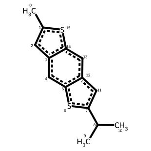 Cc1cc2cc3sc(C(C)C)cc3cc2s1